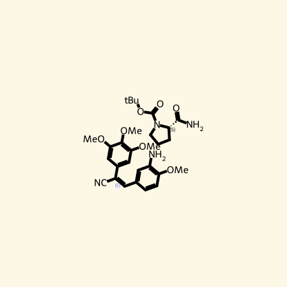 CC(C)(C)OC(=O)N1CCC[C@H]1C(N)=O.COc1ccc(/C=C(/C#N)c2cc(OC)c(OC)c(OC)c2)cc1N